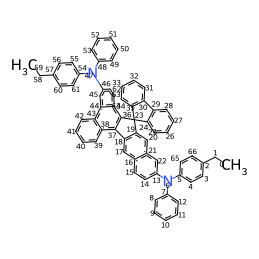 CCc1ccc(N(c2ccccc2)c2ccc3cc4c(cc3c2)C2(c3ccccc3-c3ccccc32)c2c-4c3ccccc3c3cc(N(c4ccccc4)c4ccc(CC)cc4)ccc23)cc1